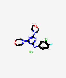 Cl.Fc1ccc(Nc2nc(N3CCOCC3)nc(N3CCOCC3)n2)cc1Cl